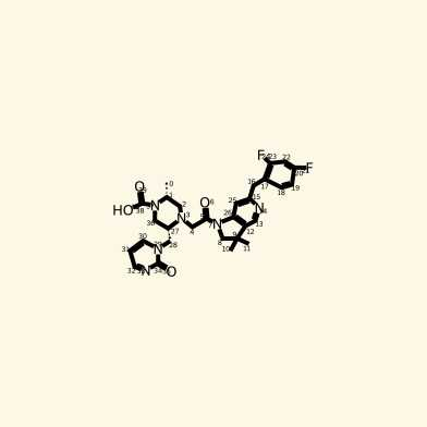 C[C@@H]1CN(CC(=O)N2CC(C)(C)c3cnc(Cc4ccc(F)cc4F)cc32)[C@H](Cn2cccnc2=O)CN1C(=O)O